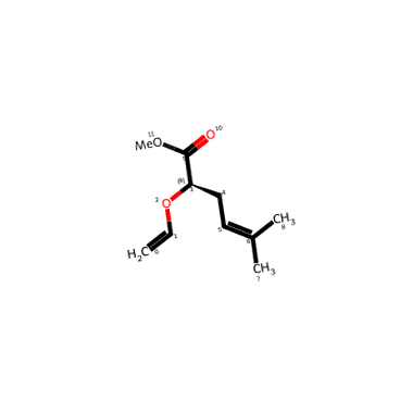 C=CO[C@H](CC=C(C)C)C(=O)OC